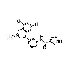 CN1Cc2c(Cl)cc(Cl)cc2C(c2cccc(NC(=O)c3cc[nH]n3)c2)C1